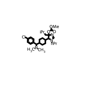 CCCN1C=NC(CC(C)C)(OC(=O)OC)C1C1CCC(C(c2ccc(Cl)cc2)N(C)C)CC1